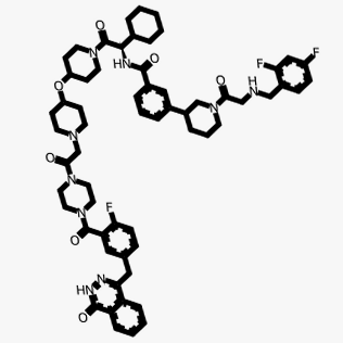 O=C(N[C@@H](C(=O)N1CCC(OC2CCN(CC(=O)N3CCN(C(=O)c4cc(Cc5n[nH]c(=O)c6ccccc56)ccc4F)CC3)CC2)CC1)C1CCCCC1)c1cccc(C2CCCN(C(=O)CNCc3ccc(F)cc3F)C2)c1